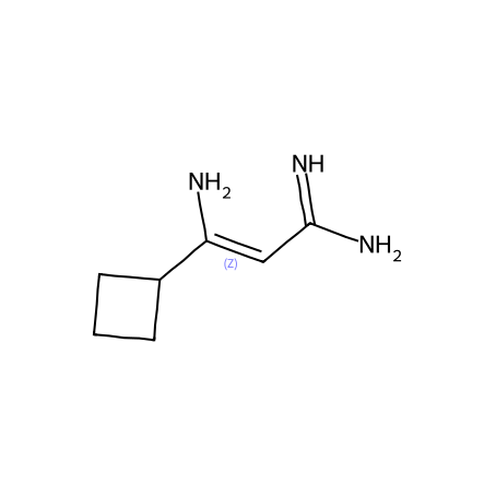 N=C(N)/C=C(\N)C1CCC1